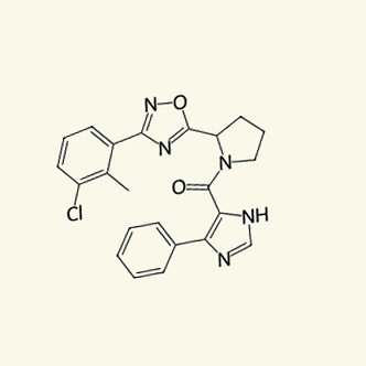 Cc1c(Cl)cccc1-c1noc(C2CCCN2C(=O)c2[nH]cnc2-c2ccccc2)n1